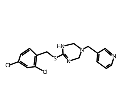 Clc1ccc(CSC2=NCN(Cc3cccnc3)CN2)c(Cl)c1